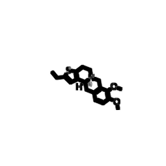 CCc1cc2c(s1)CCN1Cc3c(ccc(OC)c3OC)C[C@@H]21